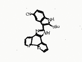 [C-]#[N+]c1ccc2[nH]c(C(C)(C)C)c(-c3nc4c5cccnc5c5ncccc5c4[nH]3)c2c1